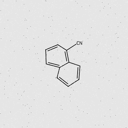 N#Cc1cccc2[c]cccc12